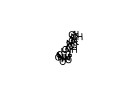 CC[C@H](C)[C@@H]([C@@H](CC(=O)N1CCC[C@H]1[C@H](OC)[C@@H](C)C(=O)NCCc1cccc(NC(=O)[C@H](C)NC(=O)[C@H](C)NC(=O)OC(C)(C)C)c1)OC)N(C)C(=O)[C@@H](NC(=O)[C@H](C(C)C)N(C)C)C(C)C